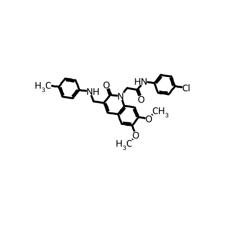 COc1cc2cc(CNc3ccc(C)cc3)c(=O)n(CC(=O)Nc3ccc(Cl)cc3)c2cc1OC